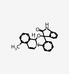 Cc1cccc2c1C=CN1c3ccccc3C3(O[C@H]21)C(=O)Nc1ccccc13